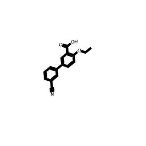 CCOc1ccc(-c2cccc(C#N)c2)cc1C(=O)O